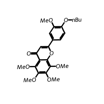 CCCCOc1ccc(-c2cc(=O)c3c(OC)c(OC)c(OC)c(OC)c3o2)cc1OC